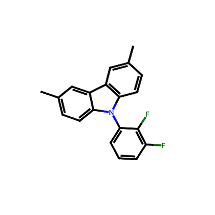 Cc1ccc2c(c1)c1cc(C)ccc1n2-c1cccc(F)c1F